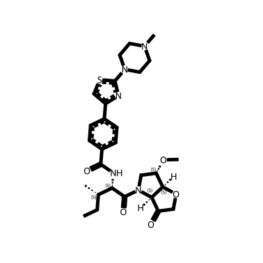 CC[C@H](C)[C@H](NC(=O)c1ccc(-c2csc(N3CCN(C)CC3)n2)cc1)C(=O)N1C[C@H](OC)[C@H]2OCC(=O)[C@H]21